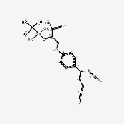 CC(C)(C)[Si](C)(C)O[C@H](COc1ccc(C(CN=[N+]=[N-])N=[N+]=[N-])cc1)C(=O)O